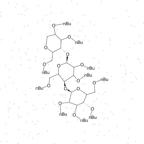 CCCCOCC1OCC(OCCCC)C(OCCCC)[C@@H]1O[C@@H]1OC(COCCCC)[C@H](O[C@H]2OC(COCCCC)[C@H](OCCCC)C(OCCCC)C2OCCCC)C(OCCCC)C1OCCCC